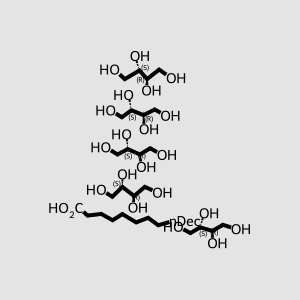 CCCCCCCCCCCCCCCCCC(=O)O.OC[C@@H](O)[C@@H](O)CO.OC[C@@H](O)[C@@H](O)CO.OC[C@@H](O)[C@@H](O)CO.OC[C@@H](O)[C@@H](O)CO.OC[C@@H](O)[C@@H](O)CO